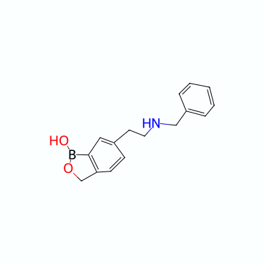 OB1OCc2ccc(CCNCc3ccccc3)cc21